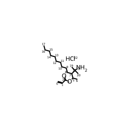 C=CC(=O)OC(C)C(CCCCCCCCCC)C(C)(C)N.Cl